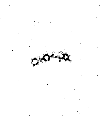 C/C(=N\NC(=O)c1ccc(S(=O)(=O)N2CCOCC2)cc1)c1cc(Cl)ccc1O